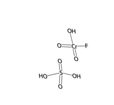 O=S(=O)(O)O.[O]=[Cr](=[O])([OH])[F]